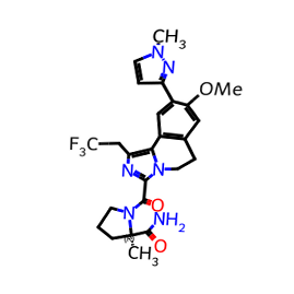 COc1cc2c(cc1-c1ccn(C)n1)-c1c(CC(F)(F)F)nc(C(=O)N3CCC[C@]3(C)C(N)=O)n1CC2